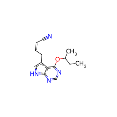 CCC(C)Oc1ncnc2[nH]cc(C/C=C\C#N)c12